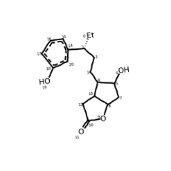 CC[C@H](CCC1C(O)CC2OC(=O)CC21)c1cccc(O)c1